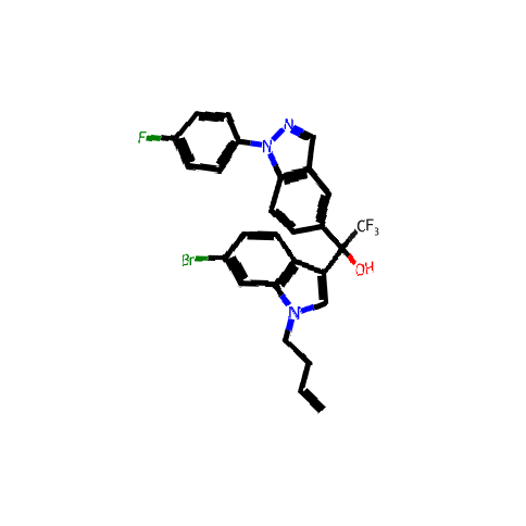 C=CCCn1cc(C(O)(c2ccc3c(cnn3-c3ccc(F)cc3)c2)C(F)(F)F)c2ccc(Br)cc21